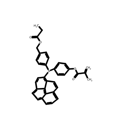 C=C(C)C(=O)Oc1ccc(N(c2ccc(COC(=O)CC)cc2)c2ccc3ccc4cccc5ccc2c3c45)cc1